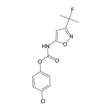 CC(C)(F)c1cc(NC(=O)Oc2ccc(Cl)cc2)on1